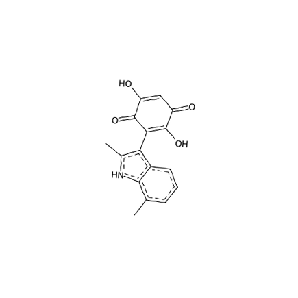 Cc1[nH]c2c(C)cccc2c1C1=C(O)C(=O)C=C(O)C1=O